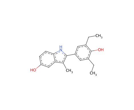 CCc1cc(-c2[nH]c3ccc(O)cc3c2C)cc(CC)c1O